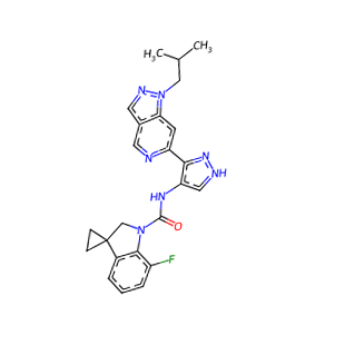 CC(C)Cn1ncc2cnc(-c3n[nH]cc3NC(=O)N3CC4(CC4)c4cccc(F)c43)cc21